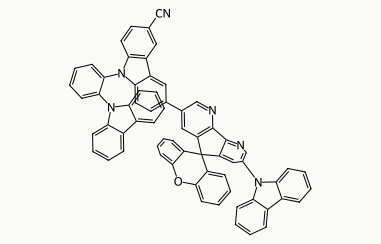 N#Cc1ccc2c(c1)c1cc(-c3cnc4c(c3)C3(c5ccccc5Oc5ccccc53)c3cc(-n5c6ccccc6c6ccccc65)cnc3-4)ccc1n2-c1ccccc1-n1c2ccccc2c2ccccc21